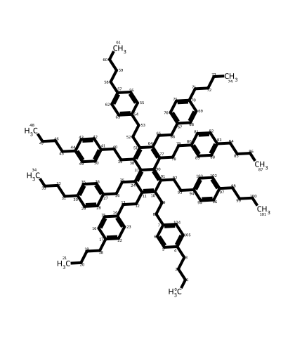 CCCCc1ccc(CCc2c(CCc3ccc(CCCC)cc3)c(CCc3ccc(CCCC)cc3)c3c(CCc4ccc(CCCC)cc4)c(CCc4ccc(CCCC)cc4)c(CCc4ccc(CCCC)cc4)c(CCc4ccc(CCCC)cc4)c3c2CCc2ccc(CCCC)cc2)cc1